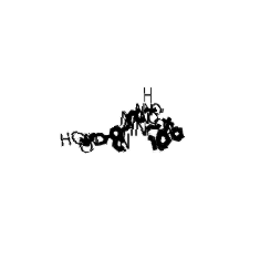 CCC[C@@H](CCO[Si](c1ccccc1)(c1ccccc1)C(C)(C)C)Nc1nc(NC(=O)OC)nc2cnn(Cc3ccc(C4CCN(C(=O)O)CC4)c4cccnc34)c12